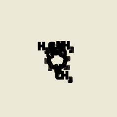 CN1CCO[Si](C)(N)OCC1